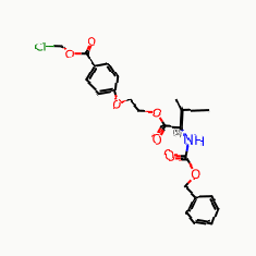 CC(C)[C@H](NC(=O)OCc1ccccc1)C(=O)OCCOc1ccc(C(=O)OCCl)cc1